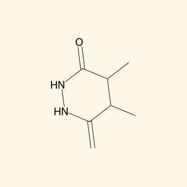 C=C1NNC(=O)C(C)C1C